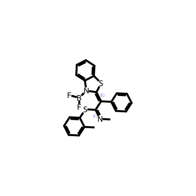 C/N=C(Sc1ccccc1C)\C(=C1\Sc2ccccc2N1B(F)F)c1ccccc1